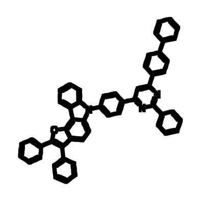 c1ccc(-c2ccc(-c3cc(-c4ccc(-n5c6ccccc6c6c7oc(-c8ccccc8)c(-c8ccccc8)c7ccc65)cc4)nc(-c4ccccc4)n3)cc2)cc1